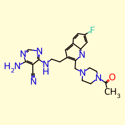 CC(=O)N1CCN(Cc2nc3cc(F)ccc3cc2CCNc2ncnc(N)c2C#N)CC1